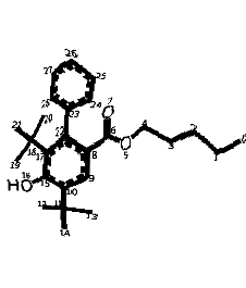 CCCCCOC(=O)c1cc(C(C)(C)C)c(O)c(C(C)(C)C)c1-c1ccccc1